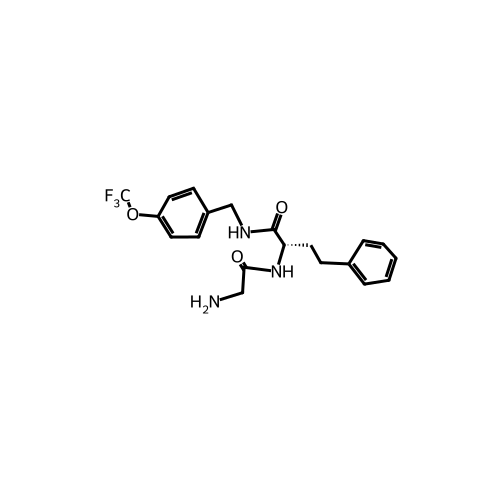 NCC(=O)N[C@@H](CCc1ccccc1)C(=O)NCc1ccc(OC(F)(F)F)cc1